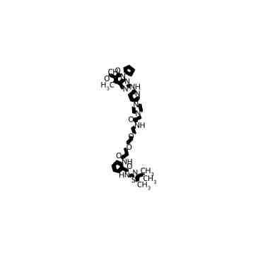 CC(=O)c1c(C)c2cnc(Nc3ccc(N4CCN(CC(=O)NCCOCCOCCC(=O)Nc5ccccc5C(=O)Nc5nc(C(C)C)c(C)s5)CC4)cn3)nc2n(C2CCCC2)c1=O